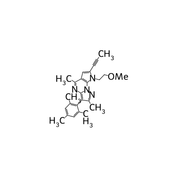 CC#Cc1cc2c(C)nc3c(-c4c(C)cc(C)cc4C)c(C)nn3c2n1CCOC